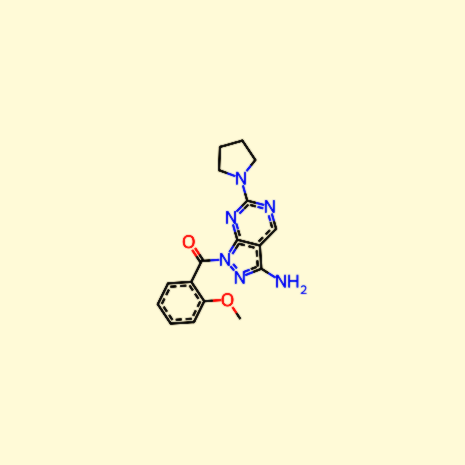 COc1ccccc1C(=O)n1nc(N)c2cnc(N3CCCC3)nc21